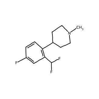 CN1CCC(c2ccc(F)cc2C(F)F)CC1